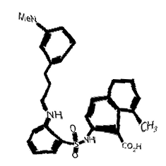 CNc1cccc(CCCNc2ccccc2S(=O)(=O)Nc2ccc3c(c2C(=O)O)C(C)=CCC3)c1